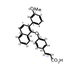 COc1cccc(-c2ccc3ccccc3c2Oc2ccc(/C=C/C(=O)O)cc2)c1